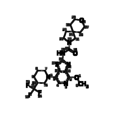 COc1ncc(N2CCCC(C(F)(F)F)C2)c2sc(NC(=O)N3CCC4(CCOCC4)C3)nc12